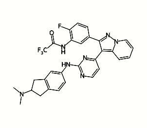 CN(C)C1Cc2ccc(Nc3nccc(-c4c(-c5ccc(F)c(NC(=O)C(F)(F)F)c5)nn5ccccc45)n3)cc2C1